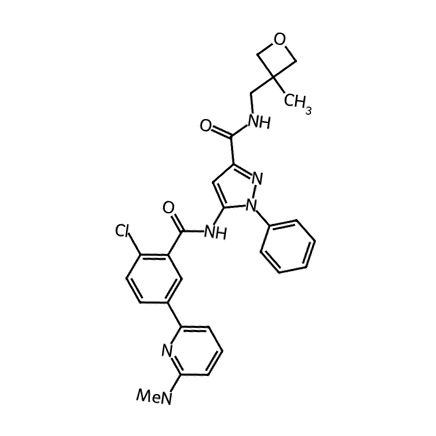 CNc1cccc(-c2ccc(Cl)c(C(=O)Nc3cc(C(=O)NCC4(C)COC4)nn3-c3ccccc3)c2)n1